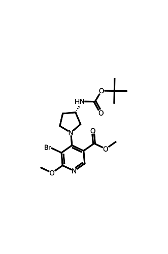 COC(=O)c1cnc(OC)c(Br)c1N1CC[C@H](NC(=O)OC(C)(C)C)C1